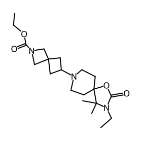 CCOC(=O)N1CC2(CC(N3CCC4(CC3)OC(=O)N(CC)C4(C)C)C2)C1